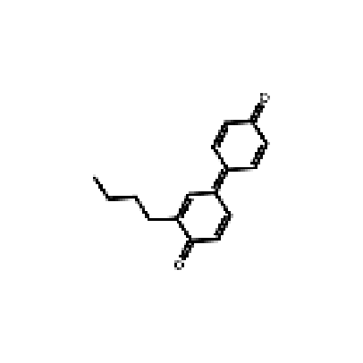 CCCCC1=CC(=C2C=CC(=O)C=C2)C=CC1=O